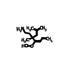 C=C/C=C(/OO)[C@](C)(CCN)CC(C)C